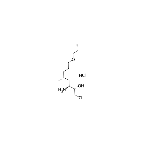 C=CCOCCC[C@@H](C)C[C@H](N)[C@H](O)CCl.Cl